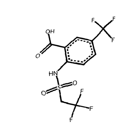 O=C(O)c1cc(C(F)(F)F)ccc1NS(=O)(=O)CC(F)(F)F